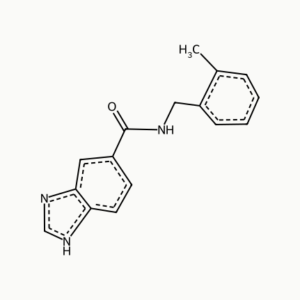 Cc1ccccc1CNC(=O)c1ccc2[nH]cnc2c1